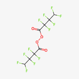 O=C(OOC(=O)C(F)(F)C(F)(F)C(F)F)C(F)(F)C(F)(F)C(F)F